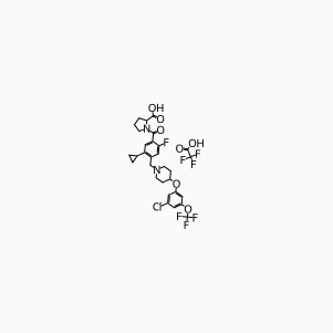 O=C(O)C(F)(F)F.O=C(O)C1CCCN1C(=O)c1cc(C2CC2)c(CN2CCC(Oc3cc(Cl)cc(OC(F)(F)F)c3)CC2)cc1F